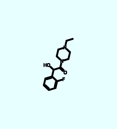 CCN1CCN(C(=O)C(O)c2ccccc2F)CC1